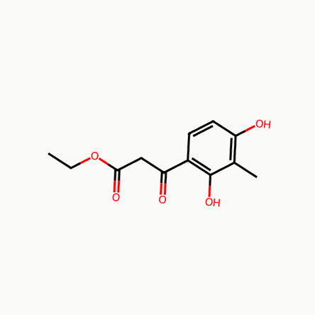 CCOC(=O)CC(=O)c1ccc(O)c(C)c1O